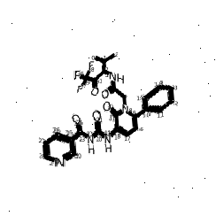 CC(C)C(NC(=O)Cn1c(-c2ccccc2)ccc(NC(=O)NC(=O)c2cccnc2)c1=O)C(=O)C(F)(F)F